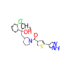 CC(O)(CC1CCCN(C(=O)C2C=C(c3cn[nH]c3)SC2)C1)c1ccccc1Cl